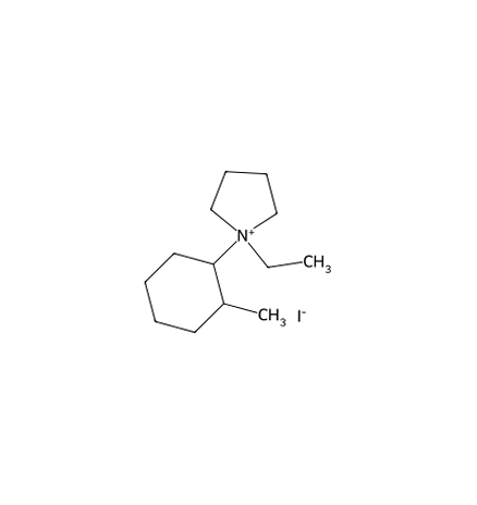 CC[N+]1(C2CCCCC2C)CCCC1.[I-]